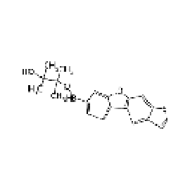 CC(C)(O)C(C)(C)OBc1ccc2c(c1)oc1cc3sccc3cc12